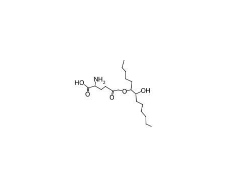 CCCCCCC(O)C(CCCCC)OCC(=O)CCC(N)C(=O)O